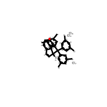 Cc1cc(C)cc(C(c2cc(C)cc(C)c2)(c2cc(C)cc(C)c2)[C]2([Ti+3])C=Cc3ccccc32)c1.[Cl-].[Cl-].[Cl-]